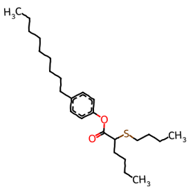 CCCCCCCCCc1ccc(OC(=O)C(CCCC)SCCCC)cc1